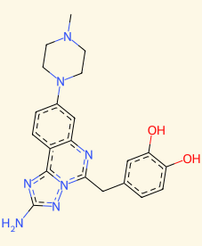 CN1CCN(c2ccc3c(c2)nc(Cc2ccc(O)c(O)c2)n2nc(N)nc32)CC1